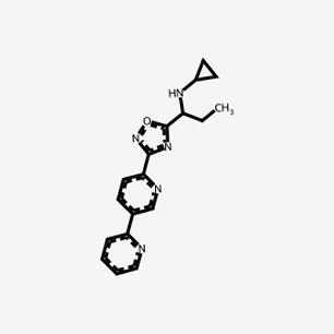 CCC(NC1CC1)c1nc(-c2ccc(-c3ccccn3)cn2)no1